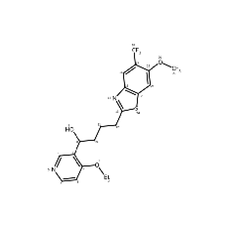 CCOc1ccncc1C(O)CCCc1nc2cc(C(F)(F)F)c(OC(F)(F)F)cc2s1